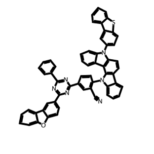 N#Cc1cc(-c2nc(-c3ccccc3)nc(-c3ccc4oc5ccccc5c4c3)n2)ccc1-n1c2ccccc2c2ccc3c(c4ccccc4n3-c3ccc4sc5ccccc5c4c3)c21